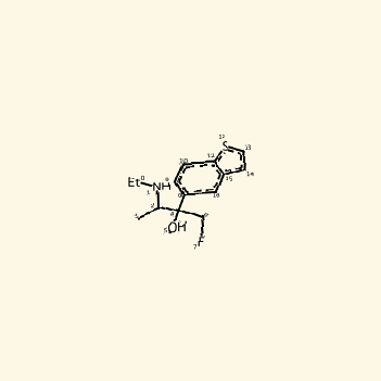 CCNC(C)C(O)(CF)c1ccc2sccc2c1